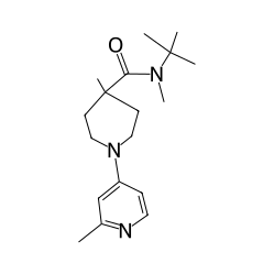 Cc1cc(N2CCC(C)(C(=O)N(C)C(C)(C)C)CC2)ccn1